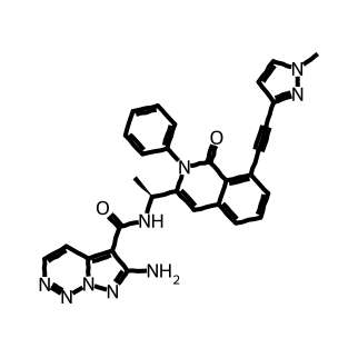 C[C@H](NC(=O)c1c(N)nn2nnccc12)c1cc2cccc(C#Cc3ccn(C)n3)c2c(=O)n1-c1ccccc1